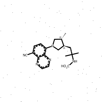 C[C@H]1CN(c2ccc(C#N)c3nccnc23)C[C@@H]1CC(C)(C)NC(=O)O